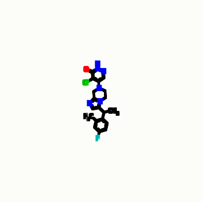 CC(c1ccc(F)cc1C(F)(F)F)c1cnc2n1CCN(c1cn[nH]c(=O)c1Cl)C2